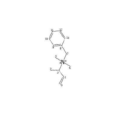 C=CC(C)[N+](C)(C)Cc1ccccc1